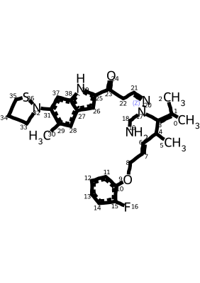 CC(C)=C(C(C)C=CCOc1ccccc1F)N(CN)/N=C\CC(=O)c1cc2cc(C)c(N3CCCS3)cc2[nH]1